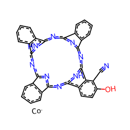 N#Cc1c(O)ccc2c3nc4nc(nc5[nH]c(nc6nc(nc([nH]3)c12)-c1ccccc1-6)c1ccccc51)-c1ccccc1-4.[Co]